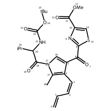 C=C/C=C\c1c(C(=O)c2nc(C(=O)OC)cs2)cn(C(=O)C(NC(=O)OC(C)(C)C)C(C)C)c1C